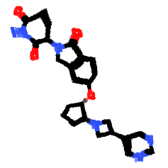 O=C1CCC(N2Cc3cc(O[C@H]4CCC[C@@H]4N4CC(c5cncnc5)C4)ccc3C2=O)C(=O)N1